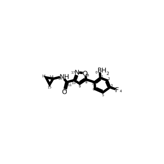 Bc1cc(F)ccc1-c1cc(C(=O)NC2CC2)no1